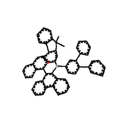 CC1(C)c2ccccc2-c2ccc(N(c3ccc(-c4ccccc4)c(-c4ccccc4)c3)c3c(-c4cccc5ccccc45)c4ccccc4c4ccccc34)cc21